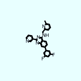 Cc1cccc(CNc2nc(-c3cccnc3)nc3cc(-c4cc(F)cc(F)c4)ccc23)n1